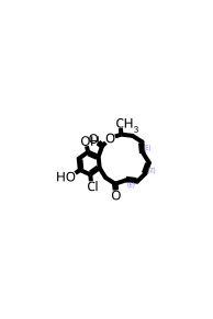 CC1C/C=C/C=C\C=C\C(=O)Cc2c(Cl)c(O)cc(O)c2C(=O)O1